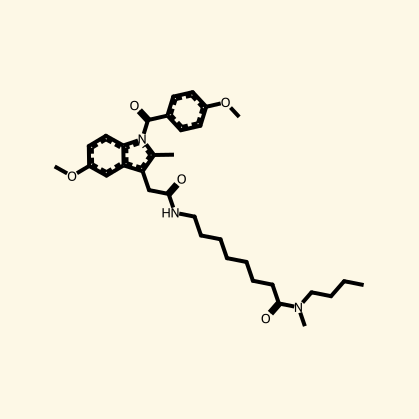 CCCCN(C)C(=O)CCCCCCCNC(=O)Cc1c(C)n(C(=O)c2ccc(OC)cc2)c2ccc(OC)cc12